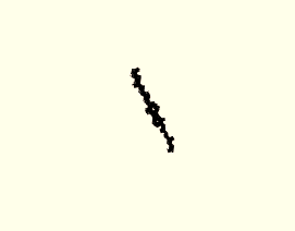 C/C=C\C=C(/C)CC/C(C)=C/c1ccc2c(c1C)-c1ccc(/C=C(\C)CC/C(C)=C/C=C\C)c(C)c1-2